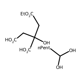 CCCCCC(O)O.CCOC(=O)CC(O)(CC(=O)O)C(=O)O